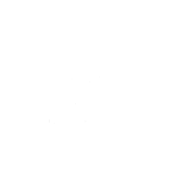 CCOC(=O)C(C(=O)O)C(=O)C12CC3CC(C1)CC(c1ccc(Cl)cc1)(C3)C2